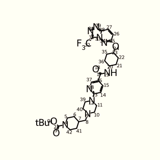 CC(C)(C)OC(=O)N1CCC(CN2CCN(c3ccc(C(=O)N[C@H]4CC[C@H](Oc5ccc6nnc(C(F)(F)F)n6n5)CC4)cn3)CC2)CC1